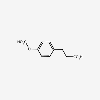 O=C(O)CCc1ccc(OC(=O)O)cc1